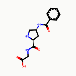 O=C(O)CNC(=O)[C@@H]1C[C@H](NC(=O)c2ccccc2)CN1